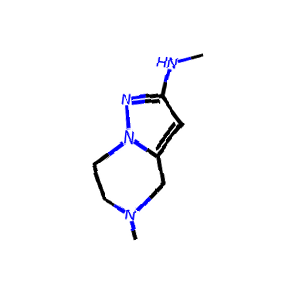 CNc1cc2n(n1)CCN(C)C2